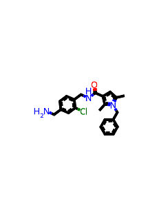 Cc1cc(C(=O)NCc2ccc(CN)cc2Cl)c(C)n1Cc1ccccc1